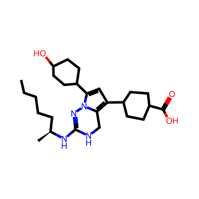 CCCCC[C@H](C)NC1=Nn2c(C3CCC(O)CC3)cc(C3CCC(C(=O)O)CC3)c2CN1